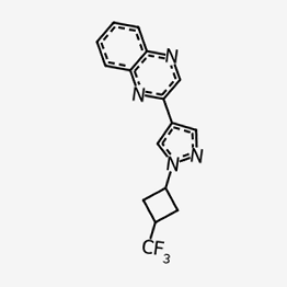 FC(F)(F)C1CC(n2cc(-c3cnc4ccccc4n3)cn2)C1